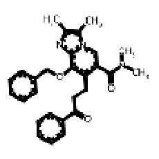 Cc1nc2c(OCc3ccccc3)c(CCC(=O)c3ccccc3)c(C(=O)N(C)C)cn2c1C